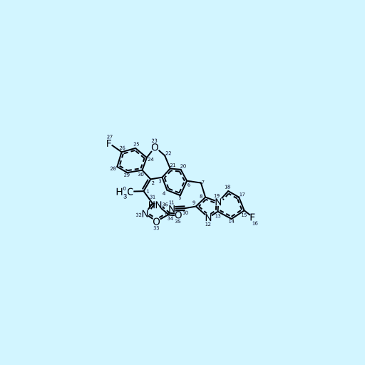 CC(=C1c2ccc(Cc3c(C#N)nc4cc(F)ccn34)cc2COc2cc(F)ccc21)c1noc(=O)[nH]1